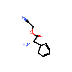 N#CCOC(=O)[C@@H](N)C1C=CC=CC1